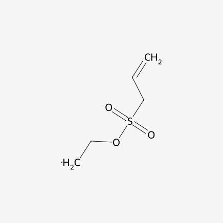 [CH2]COS(=O)(=O)CC=C